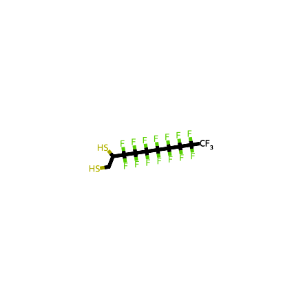 FC(F)(F)C(F)(F)C(F)(F)C(F)(F)C(F)(F)C(F)(F)C(F)(F)C(F)(F)C(S)CS